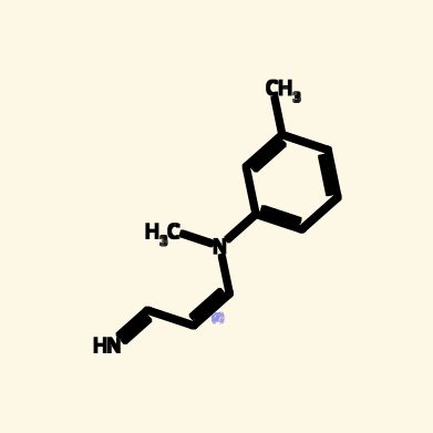 Cc1cccc(N(C)/C=C\C=N)c1